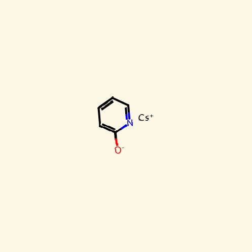 [Cs+].[O-]c1ccccn1